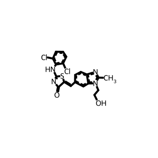 Cc1nc2ccc(/C=C3\SC(Nc4c(Cl)cccc4Cl)=NC3=O)cc2n1CCO